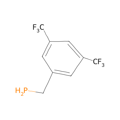 FC(F)(F)c1cc(CP)cc(C(F)(F)F)c1